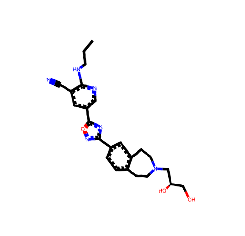 CCCNc1ncc(-c2nc(-c3ccc4c(c3)CCN(C[C@H](O)CO)CC4)no2)cc1C#N